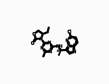 CCC1COC(=O)N1c1nc(C)nc(N[C@H](C)c2cnc3ccc(Cl)nn23)n1